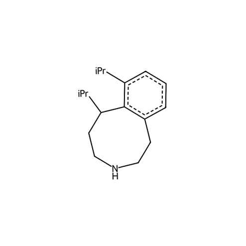 CC(C)c1cccc2c1C(C(C)C)CCNCC2